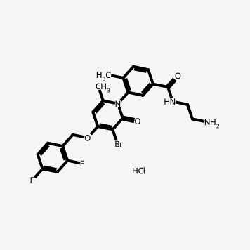 Cc1ccc(C(=O)NCCN)cc1-n1c(C)cc(OCc2ccc(F)cc2F)c(Br)c1=O.Cl